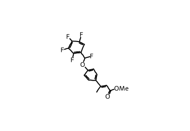 COC(=O)C=C(C)c1ccc(OC(F)c2cc(F)c(F)c(F)c2F)cc1